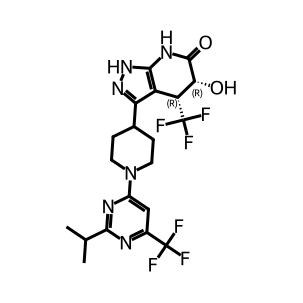 CC(C)c1nc(N2CCC(c3n[nH]c4c3[C@@H](C(F)(F)F)[C@@H](O)C(=O)N4)CC2)cc(C(F)(F)F)n1